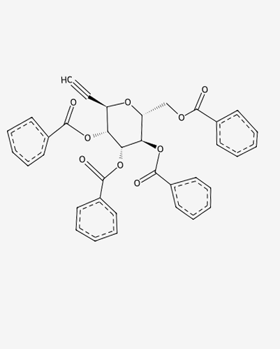 C#C[C@H]1O[C@H](COC(=O)c2ccccc2)[C@@H](OC(=O)c2ccccc2)[C@H](OC(=O)c2ccccc2)[C@@H]1OC(=O)c1ccccc1